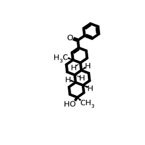 C[C@@]1(O)CC[C@H]2[C@H](CC[C@@H]3[C@@H]2CC[C@]2(C)C=C(C(=O)c4ccccc4)CC[C@@H]32)C1